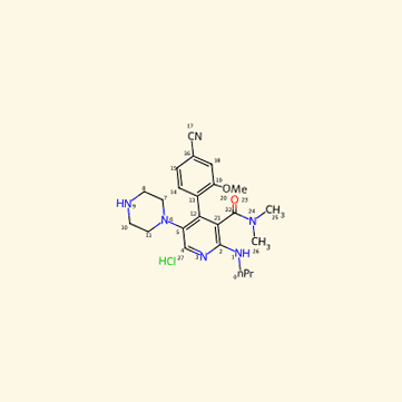 CCCNc1ncc(N2CCNCC2)c(-c2ccc(C#N)cc2OC)c1C(=O)N(C)C.Cl